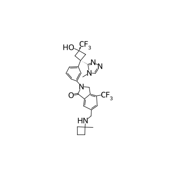 Cn1cnnc1[C@]1(c2cccc(N3Cc4c(cc(CNC5(C)CCC5)cc4C(F)(F)F)C3=O)c2)C[C@@](O)(C(F)(F)F)C1